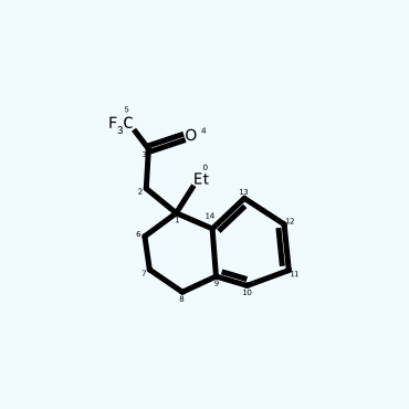 CCC1(CC(=O)C(F)(F)F)CCCc2ccccc21